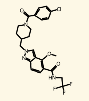 COc1c(C(=O)NCC(F)(F)F)ccc2nn(CC3CCN(C(=O)c4ccc(Cl)cc4)CC3)cc12